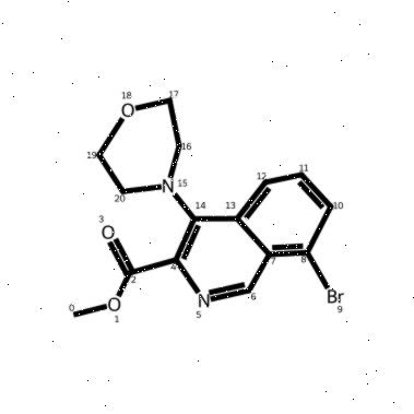 COC(=O)c1ncc2c(Br)cccc2c1N1CCOCC1